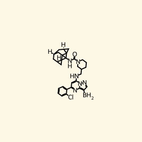 Bc1cnn2c(NCC3CCCN(C(=O)NC45C67C[C@H]6C[C@@H]6C[C@H]8CC84C75C6)C3)cc(-c3ccccc3Cl)nc12